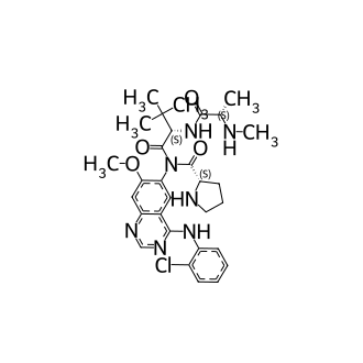 CN[C@@H](C)C(=O)N[C@H](C(=O)N(C(=O)[C@@H]1CCCN1)c1cc2c(Nc3ccccc3Cl)ncnc2cc1OC)C(C)(C)C